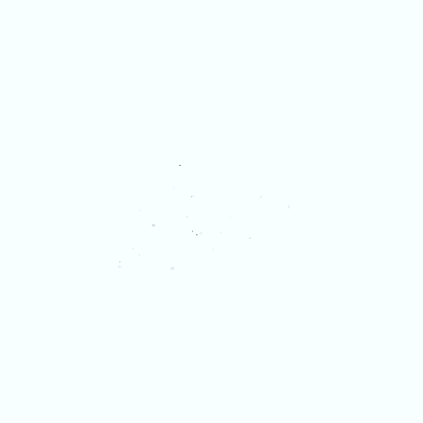 Cc1ccc(S(=O)(=O)Nc2cc(Br)c(F)cc2C(=O)C2CC2)cc1